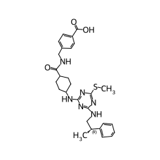 CSc1nc(NC[C@H](C)c2ccccc2)nc(NC2CCC(C(=O)NCc3ccc(C(=O)O)cc3)CC2)n1